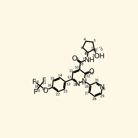 C[C@@]1(O)CCC[C@@H]1NC(=O)c1cc(-c2ccc(OC(F)(F)F)cc2)nn(-c2cccnc2)c1=O